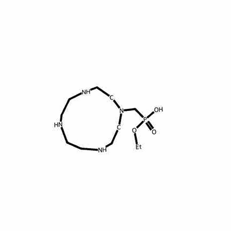 CCOP(=O)(O)CN1CCNCCNCCNCC1